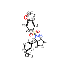 O=S(=O)(NCC1(c2cccc(C(F)(F)F)c2)CCCC1)c1ccc(OC(F)(F)F)cc1